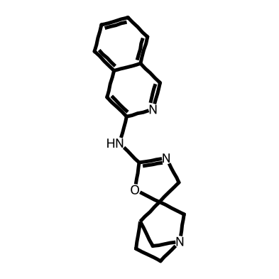 c1ccc2cc(NC3=NCC4(CN5CCC4C5)O3)ncc2c1